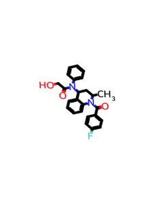 CC1CC(N(C(=O)CO)c2ccccc2)c2ccccc2N1C(=O)c1ccc(F)cc1